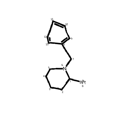 CCCC1CCCCN1Cc1ccccc1